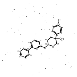 OC1(c2ccc(F)cc2)CCN(Cc2ccnc(-c3ccccc3)c2)CC1